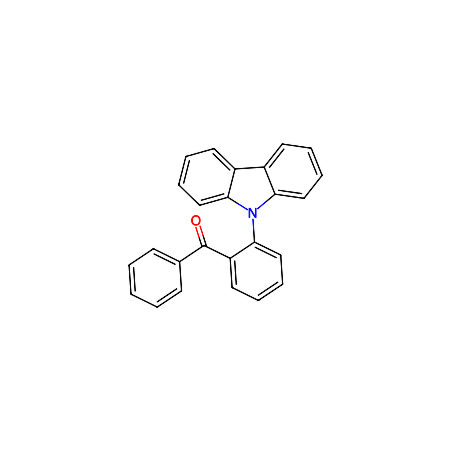 O=C(c1ccccc1)c1ccccc1-n1c2ccccc2c2ccccc21